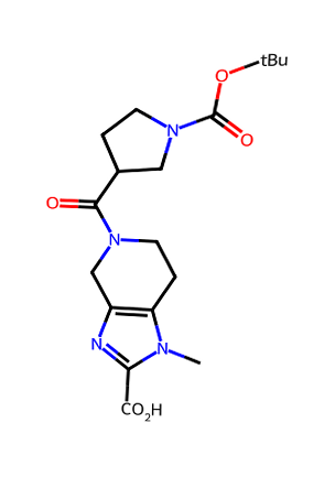 Cn1c(C(=O)O)nc2c1CCN(C(=O)C1CCN(C(=O)OC(C)(C)C)C1)C2